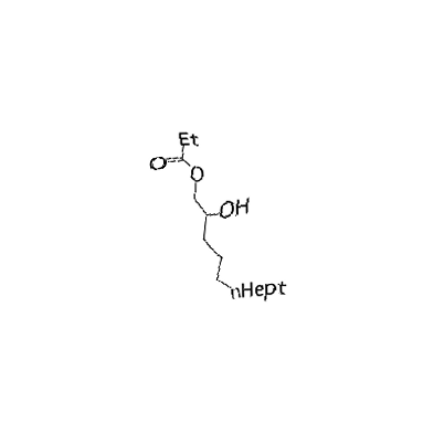 CCCCCCCCCCC(O)COC(=O)CC